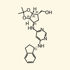 CC1(C)O[C@@H]2[C@@H](CO)C[C@@H](Nc3cc(N[C@H]4CCc5ccccc54)ncn3)[C@H]2O1